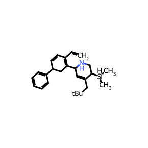 C=CC1=C(C2C=C(CC(C)(C)C)C([SiH](C)C)CN2)CC(c2ccccc2)C=C1